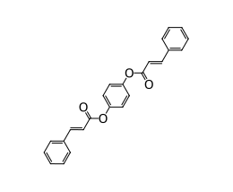 O=C(/C=C/c1ccccc1)Oc1ccc(OC(=O)/C=C/c2ccccc2)cc1